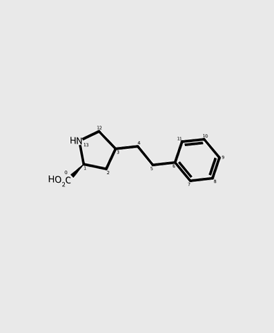 O=C(O)[C@@H]1CC(CCc2ccccc2)CN1